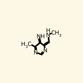 CN/C=C1/N=CN=C(C)C1=N